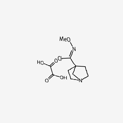 CON=C(Cl)C12CCN(CC1)C2.O=C(O)C(=O)O